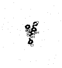 O=C(NCc1ccc(Cl)cc1)C1=NNc2ccc(CN3CCOCC3)cc2C1C(=O)S(=O)(=O)c1ccccc1